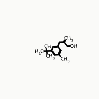 C=C(CO)Cc1cc(C)cc(C(C)(C)C)c1